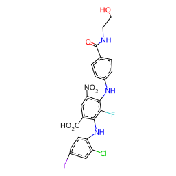 O=C(NCCO)c1ccc(Nc2c([N+](=O)[O-])cc(C(=O)O)c(Nc3ccc(I)cc3Cl)c2F)cc1